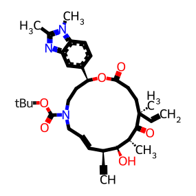 C#C[C@H]1/C=C/CN(C(=O)OC(C)(C)C)CC[C@@H](c2ccc3c(c2)nc(C)n3C)OC(=O)CC[C@@](C)(C=C)C(=O)[C@H](C)[C@H]1O